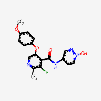 O=C(Nc1cc[n+](O)nc1)c1c(Oc2ccc(OC(F)(F)F)cc2)cnc(C(F)(F)F)c1F